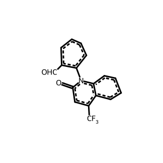 O=Cc1ccccc1-n1c(=O)cc(C(F)(F)F)c2ccccc21